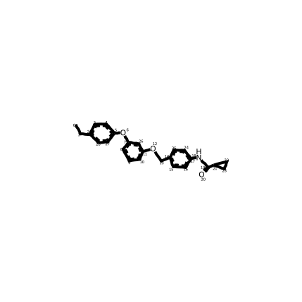 CCc1ccc(Oc2cccc(OCc3ccc(NC(=O)C4CC4)cc3)c2)cc1